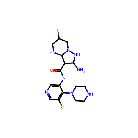 NC1NN2CC(F)CNC2C1C(=O)Nc1cncc(Cl)c1N1CCNCC1